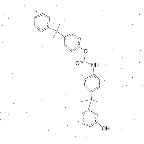 CC(C)(c1ccccc1)c1ccc(OC(=O)Nc2ccc(C(C)(C)c3cccc(O)c3)cc2)cc1